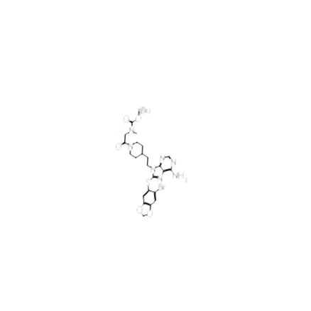 C[C@@H](C(=O)N1CCC(CCn2c(Sc3cc4c(cc3Br)OCO4)nc3c(N)ncnc32)CC1)N(C)C(=O)OC(C)(C)C